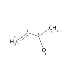 C=CC(C)[O]